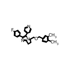 Cc1ccc(COCC2CCc3nc(-c4ccc(F)cc4)c(-c4ccncc4)n32)cc1C